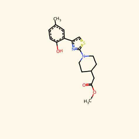 COC(=O)CC1CCN(c2nc(-c3cc(C)ccc3O)cs2)CC1